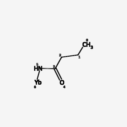 CCCC(=O)[NH][Yb]